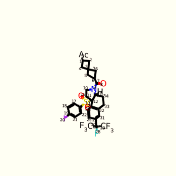 CC(=O)C1CC2(C1)CC(C(=O)N1CC[C@@]3(S(=O)(=O)c4ccc(I)cc4)c4ccc(C(F)(C(F)(F)F)C(F)(F)F)cc4CC[C@@H]13)C2